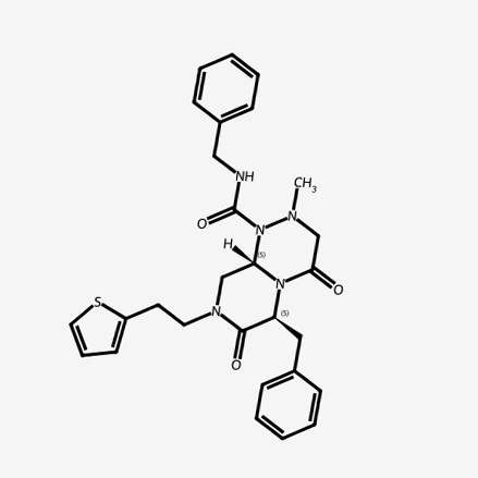 CN1CC(=O)N2[C@@H](Cc3ccccc3)C(=O)N(CCc3cccs3)C[C@@H]2N1C(=O)NCc1ccccc1